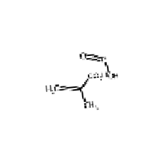 C=C(C)C(=O)O.O=PO